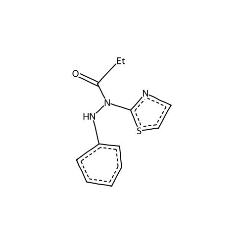 CCC(=O)N(Nc1ccccc1)c1nccs1